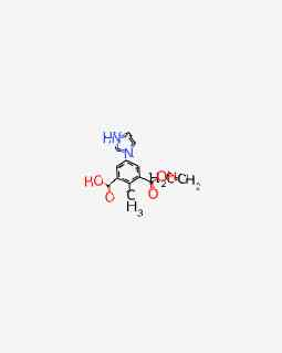 C=C.Cc1c(C(=O)O)cccc1C(=O)O.c1c[nH]cn1